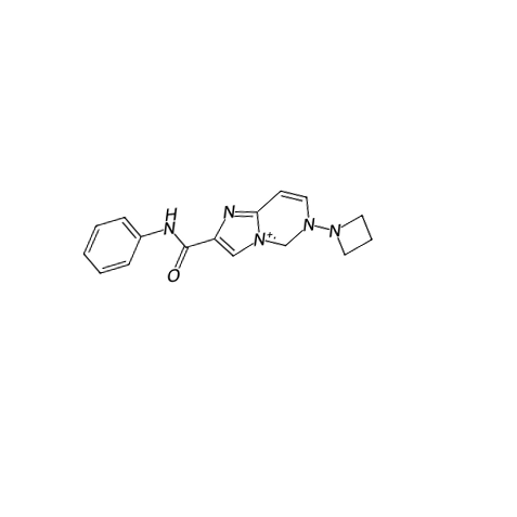 O=C(Nc1ccccc1)C1=C[N+]2CN(N3CCC3)C=CC2=N1